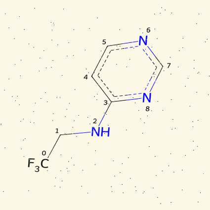 FC(F)(F)CNc1ccncn1